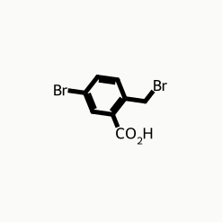 O=C(O)c1cc(Br)ccc1CBr